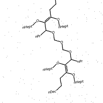 CCCCCCCCCCCCC(OCCCCCCC)=C(OCCCCCCC)C(CCC)OCOCOC(CCC)C(OCCCCCCC)=C(CCCCCCCCCCCC)OCCCCCCC